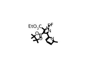 CCOC(=O)c1c(B2OC(C)(C)C(C)(C)O2)c(-c2cccc(C)n2)nn1SF